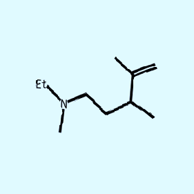 C=C(C)C(C)CCN(C)CC